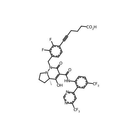 C[C@]12CCCN1N(Cc1ccc(C#CCCCC(=O)O)c(F)c1F)C(=O)C(C(=O)Nc1ccc(C(F)(F)F)cc1-c1cc(C(F)(F)F)ncn1)=C2O